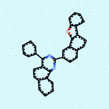 c1ccc(-c2nc(-c3ccc4ccc5c6ccccc6oc5c4c3)nc3c2ccc2ccccc23)cc1